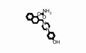 NC(=O)OC1c2ccccc2CCC1CN1CCN(c2ccc(O)cc2)CC1